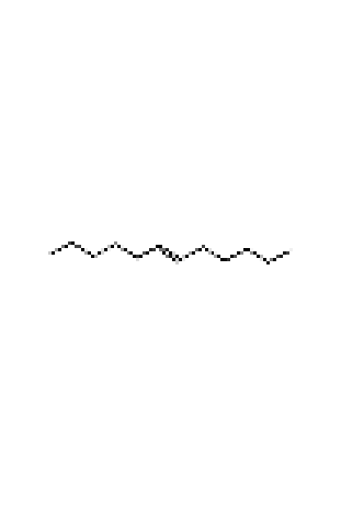 CCCC[CH]/C=C/CCCCC